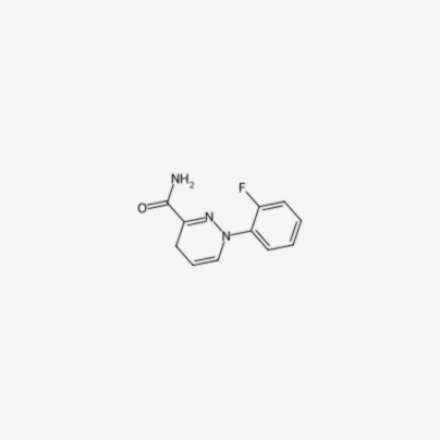 NC(=O)C1=NN(c2ccccc2F)C=CC1